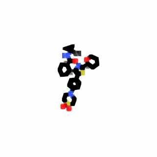 N#CC1(NC(=O)[C@@H]2CCCC[C@H]2c2nc([C@@H]3CCCCO3)sc2-c2ccc(N3CCS(=O)(=O)CC3)cc2)CC1